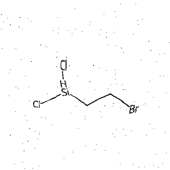 Cl[SiH](Cl)CCBr